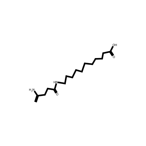 C=C(N)CCC(=O)NCCCCCCCCCCC(=O)O